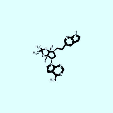 CC1(C)O[C@@H]2[C@@H](CCc3cnc4[nH]ccc4c3)C[C@@H](n3ccc4c(N)ncnc43)[C@@H]2O1